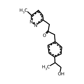 Cc1ccc(CC(=O)Cc2ccc(C(C)CO)cc2)nn1